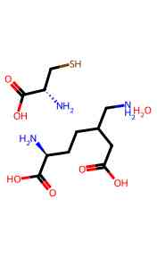 NCC(CC[C@H](N)C(=O)O)CC(=O)O.N[C@@H](CS)C(=O)O.O